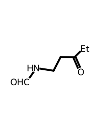 CCC(=O)CCNC=O